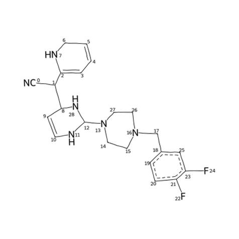 N#CC(C1=CC=CCN1)C1C=CNC(N2CCN(Cc3ccc(F)c(F)c3)CC2)N1